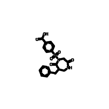 O=C1CN(S(=O)(=O)c2ccc(C(=O)O)cc2)C(=O)C(Cc2ccccc2)CN1